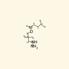 CC(C)CCN(C)OCC(C)(C)CNN